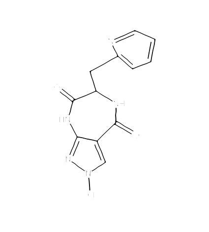 Cn1cc2c(n1)NC(=O)C(Cc1ccccn1)NC2=O